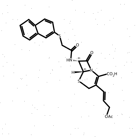 CC(=O)OCC=CC1=C(C(=O)O)N2C(=O)[C@@H](NC(=O)CSc3ccc4ccccc4c3)[C@H]2SC1